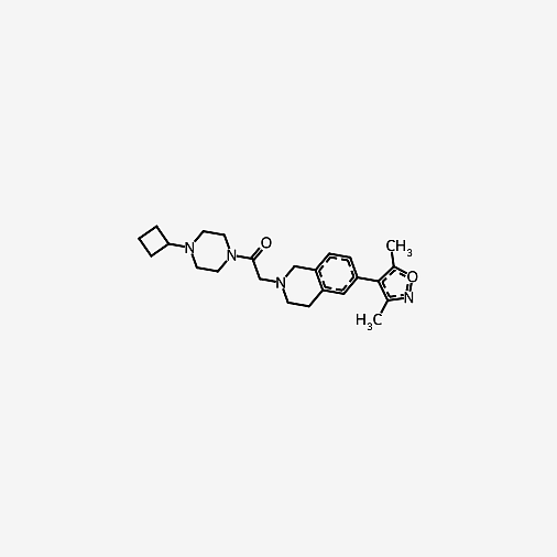 Cc1noc(C)c1-c1ccc2c(c1)CCN(CC(=O)N1CCN(C3CCC3)CC1)C2